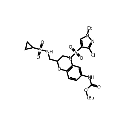 CCn1cc(S(=O)(=O)N2CC(CNS(=O)(=O)C3CC3)Oc3ccc(NC(=O)OC(C)(C)C)cc32)c(Cl)n1